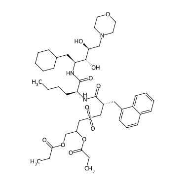 CCCC[C@H](NC(=O)[C@H](Cc1cccc2ccccc12)CS(=O)(=O)CC(COC(=O)CC)OC(=O)CC)C(=O)N[C@@H](CC1CCCCC1)[C@@H](O)[C@@H](O)CN1CCOCC1